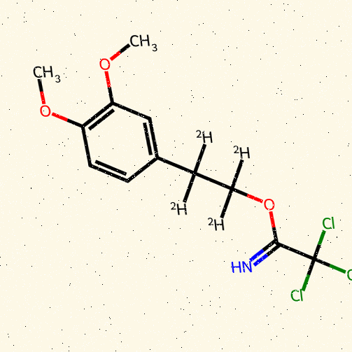 [2H]C([2H])(OC(=N)C(Cl)(Cl)Cl)C([2H])([2H])c1ccc(OC)c(OC)c1